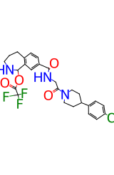 O=C(NCC(=O)N1CCC(c2ccc(Cl)cc2)CC1)c1ccc2c(c1)C(OC(=O)C(F)(F)F)NCCC2